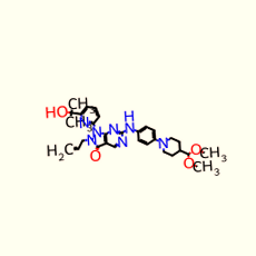 C=CCn1c(=O)c2cnc(Nc3ccc(N4CCC(C(OC)OC)CC4)cc3)nc2n1-c1cccc(C(C)(C)O)n1